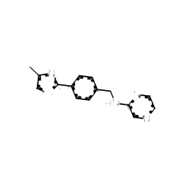 Cc1coc(-c2ccc(CNc3cnccn3)cc2)n1